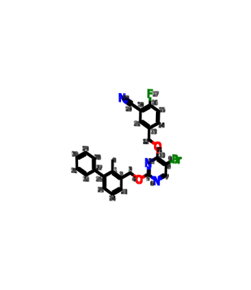 Cc1c(COc2ncc(Br)c(OCc3ccc(F)c(C#N)c3)n2)cccc1-c1ccccc1